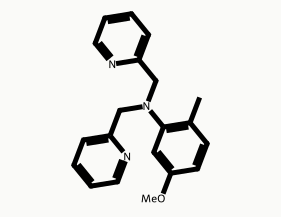 COc1ccc(C)c(N(Cc2ccccn2)Cc2ccccn2)c1